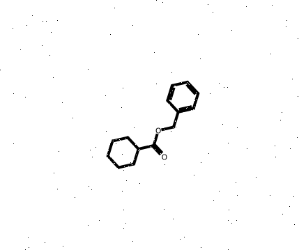 O=C(O[CH]c1ccccc1)C1CCCCC1